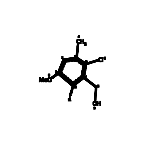 COc1cc(C)c(Cl)c(CO)c1F